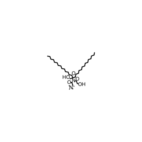 CCCCCCCCCCCCCC(=O)C(CO)(C(=O)CCCCCCCCCCCCC)N(CCO)C(=O)C[N+](C)(C)C